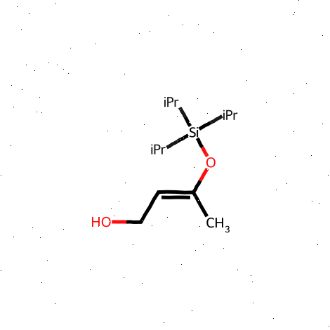 CC(=CCO)O[Si](C(C)C)(C(C)C)C(C)C